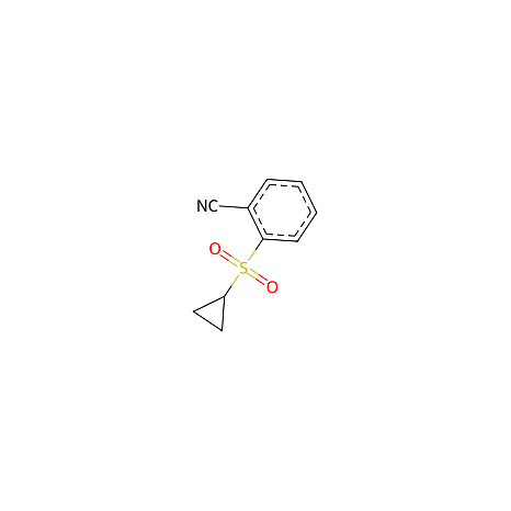 N#Cc1ccccc1S(=O)(=O)C1CC1